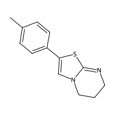 Cc1ccc(C2=CN3CCCN=C3S2)cc1